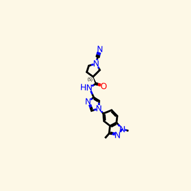 Cc1nn(C)c2ccc(-n3cnc(NC(=O)[C@H]4CCN(C#N)C4)c3)cc12